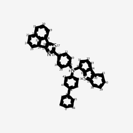 c1ccc(-c2ccc(N(c3ccc(-c4nc5c(s4)-c4cccc6cccc-5c46)cc3)c3cccc4c3sc3ccccc34)cc2)cc1